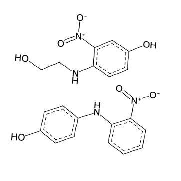 O=[N+]([O-])c1cc(O)ccc1NCCO.O=[N+]([O-])c1ccccc1Nc1ccc(O)cc1